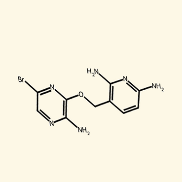 Nc1ccc(COc2nc(Br)cnc2N)c(N)n1